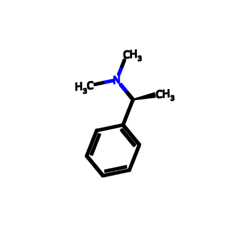 C[C@@H](c1ccccc1)N(C)C